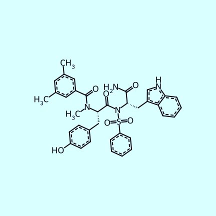 Cc1cc(C)cc(C(=O)N(C)[C@@H](Cc2ccc(O)cc2)C(=O)N([C@@H](Cc2c[nH]c3ccccc23)C(N)=O)S(=O)(=O)c2ccccc2)c1